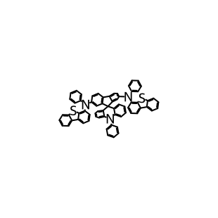 c1ccc(N2c3ccccc3C3(c4cc(N(c5ccccc5)c5cccc6c5sc5ccccc56)ccc4-c4ccc(N(c5ccccc5)c5cccc6c5sc5ccccc56)cc43)c3ccccc32)cc1